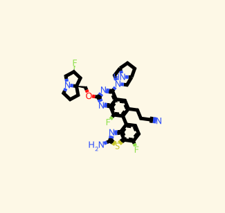 N#CCCc1cc2c(N3CC4CCC(C3)N4)nc(OC[C@@]34CCCN3C[C@H](F)C4)nc2c(F)c1-c1ccc(F)c2sc(N)nc12